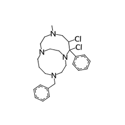 CN1CCN2CCCN(Cc3ccccc3)CCN(CC2)C(Cl)(c2ccccc2)C(Cl)C1